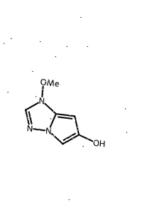 COn1cnn2cc(O)cc12